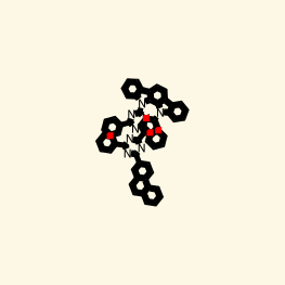 c1ccc(-c2nc(-c3ccc(-n4c5ccccc5c5ccc6c7ccccc7n(-c7nc(-c8ccccc8)nc(-c8ccccc8)n7)c6c54)cc3)nc(-c3ccc4c(ccc5ccccc54)c3)n2)cc1